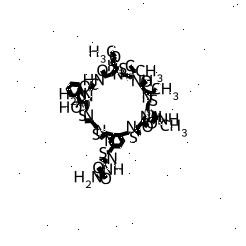 CNC(=O)C[C@@H]1NC(=O)c2csc(n2)-c2ccc(-c3nc(NS(N)(=O)=O)cs3)nc2-c2csc(n2)-c2csc(n2)[C@H]([C@@H](O)c2ccccc2)N(N)C(=O)CNC(=O)c2nc(sc2COC)[C@H](C(C)C)NC(=O)c2nc1sc2C